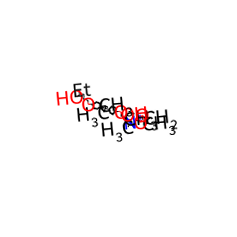 C=C(C)C(=O)OCC[N+](C)(C)CC(O)COc1ccc(C(C)(C)c2ccc(OCCCC(O)CC)cc2)cc1